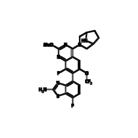 COc1nc(N2CC3CCC(C2)N3)c2cc(OC(F)(F)F)c(-c3ccc(F)c4sc(N)nc34)c(F)c2n1